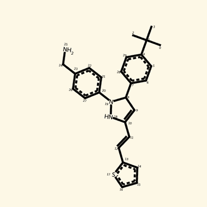 CC(C)(C)c1ccc(C2C=C(C=Cc3cccs3)NN2c2ccc(CN)cc2)cc1